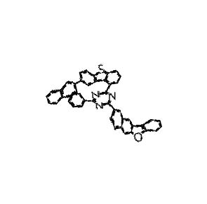 c1ccc(-c2nc(-c3ccc4cc5oc6ccccc6c5cc4c3)nc(-c3cccc4sc5ccc(-c6ccc7ccccc7c6)cc5c34)n2)cc1